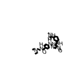 CCN(CC)CCNC(=O)c1ccc(Nc2ncc(N=O)c(Nc3cccc(C(=O)NC)c3)n2)cc1